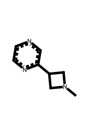 CN1CC(c2cnccn2)C1